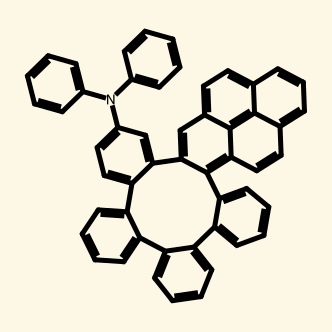 c1ccc(N(c2ccccc2)c2ccc3c4ccccc4c4ccccc4c4ccccc4c4c(cc5ccc6cccc7ccc4c5c67)c3c2)cc1